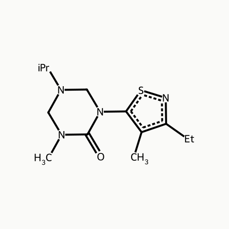 CCc1nsc(N2CN(C(C)C)CN(C)C2=O)c1C